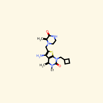 C=C1C(=O)NCCN1Cc1sc2c(c1N)C(=C)N(CC)C(=O)N2CC1CCC1